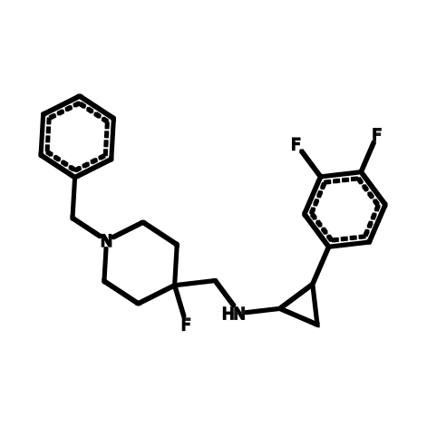 Fc1ccc(C2CC2NCC2(F)CCN(Cc3ccccc3)CC2)cc1F